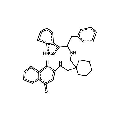 O=c1cc(NCC2(CNC(Cc3ccccc3)c3c[nH]c4ccccc34)CCCCC2)[nH]c2ccccc12